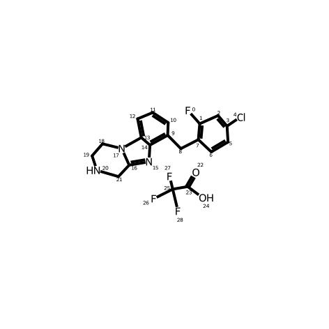 Fc1cc(Cl)ccc1Cc1cccc2c1nc1n2CCNC1.O=C(O)C(F)(F)F